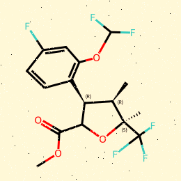 COC(=O)C1O[C@](C)(C(F)(F)F)[C@H](C)[C@@H]1c1ccc(F)cc1OC(F)F